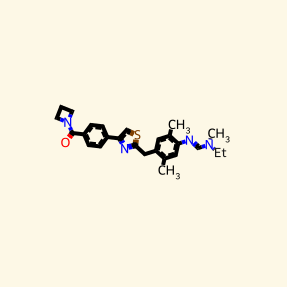 CCN(C)C=Nc1cc(C)c(Cc2nc(-c3ccc(C(=O)N4CCC4)cc3)cs2)cc1C